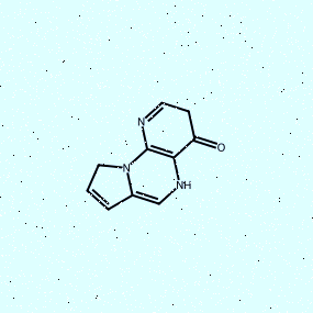 O=C1CC=NC2=C1NC=C1C=CCN12